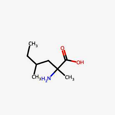 CCC(C)CC(C)(N)C(=O)O